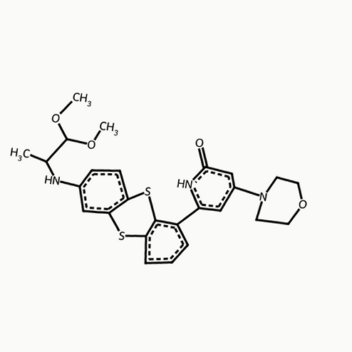 COC(OC)C(C)Nc1ccc2c(c1)Sc1cccc(-c3cc(N4CCOCC4)cc(=O)[nH]3)c1S2